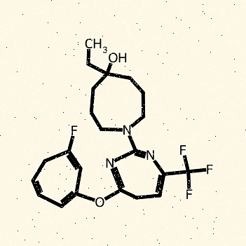 CCC1(O)CCCN(C2=NC(C(F)(F)F)=CCC(OC3=CC=CCC(F)=C3)=N2)CCC1